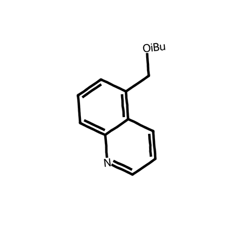 CC(C)COCc1cccc2ncccc12